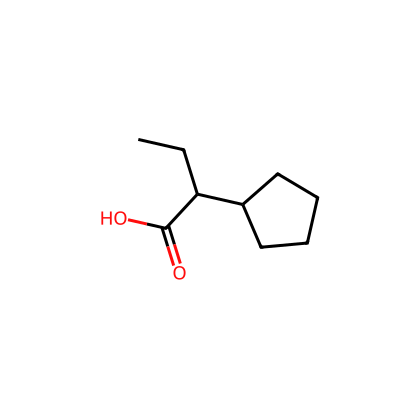 CCC(C(=O)O)C1CCCC1